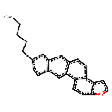 CCCCCCCCCCCCCCc1ccc2cc3c(ccc4c5ccoc5ccc34)cc2c1